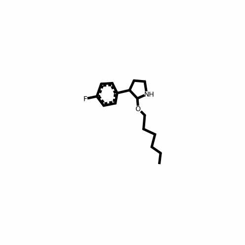 CCCCCCOC1NCCC1c1ccc(F)cc1